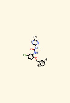 N#Cc1cnc(NC(=O)Nc2cc(Cl)ccc2OCC2C[C@@H]3CC[C@H]2C3)cn1